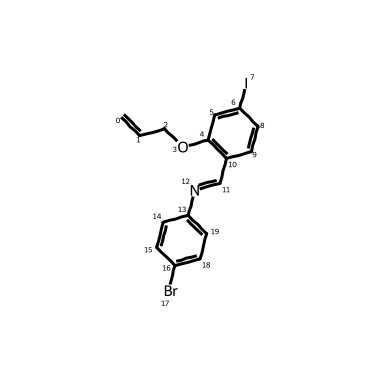 C=CCOc1cc(I)ccc1/C=N/c1ccc(Br)cc1